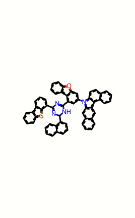 c1ccc2cc3c(cc2c1)c1c2ccccc2ccc1n3-c1cc(C2=NC(c3cccc4c3sc3ccccc34)=NC(c3cccc4ccccc34)N2)c2c(c1)oc1ccccc12